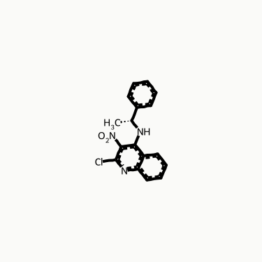 C[C@@H](Nc1c([N+](=O)[O-])c(Cl)nc2ccccc12)c1ccccc1